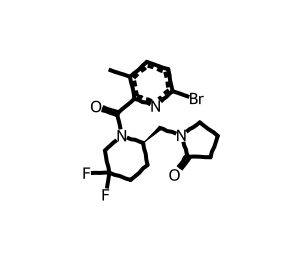 Cc1ccc(Br)nc1C(=O)N1CC(F)(F)CC[C@@H]1CN1CCCC1=O